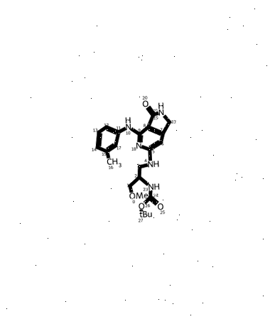 COCC(CNc1cc2c(c(Nc3cccc(C)c3)n1)C(=O)NC2)NC(=O)OC(C)(C)C